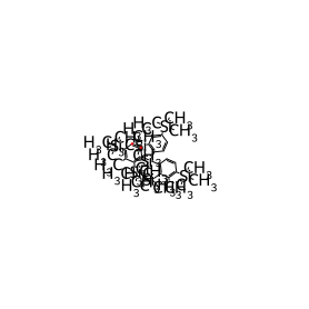 Cc1c([Si](C)(C)C)ccc([Si](Cl)(c2ccc([Si](C)(C)C)c(C)c2[Si](C)(C)C)c2ccc([Si](C)(C)C)c(C)c2[Si](C)(C)C)c1[Si](C)(C)C